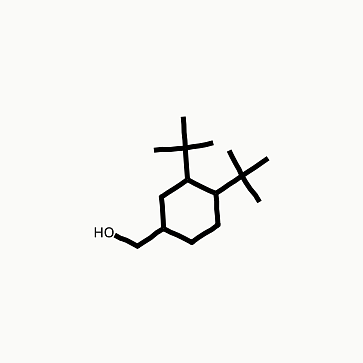 CC(C)(C)C1CCC(CO)CC1C(C)(C)C